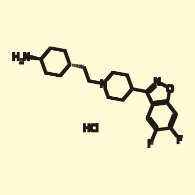 Cl.N[C@H]1CC[C@H](CCN2CCC(c3noc4cc(F)c(F)cc34)CC2)CC1